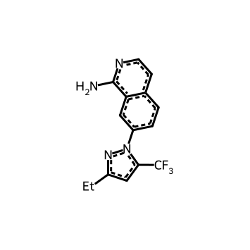 CCc1cc(C(F)(F)F)n(-c2ccc3ccnc(N)c3c2)n1